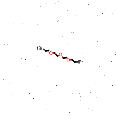 CC(C)CCOCCOCCOCCC(C)(C)C